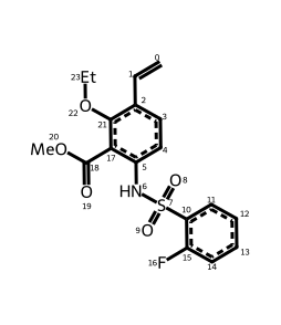 C=Cc1ccc(NS(=O)(=O)c2ccccc2F)c(C(=O)OC)c1OCC